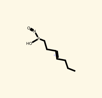 CCC/C=C/CCP(O)N=O